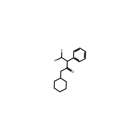 O=C(CC1CCCCC1)C(c1ccccc1)C(F)F